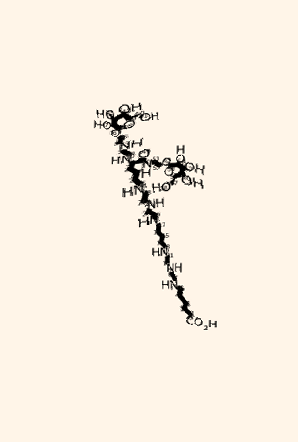 O=C(O)CCCCCNCCNCCNCCCCCNCCNCCNCCCCC(NCCNCCO[C@H]1O[C@H](CO)[C@@H](O)[C@H](O)[C@@H]1O)C(=O)NCCO[C@H]1O[C@H](CO)[C@@H](O)[C@H](O)[C@@H]1O